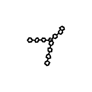 c1ccc(-c2ccc(-c3ccc(-c4ccc5c(c4)c(-c4ccc(-c6ccc(-c7ccccc7)cc6)cc4)cn5-c4ccc(-c5ccc6ccccc6c5)cc4)cc3)cc2)cc1